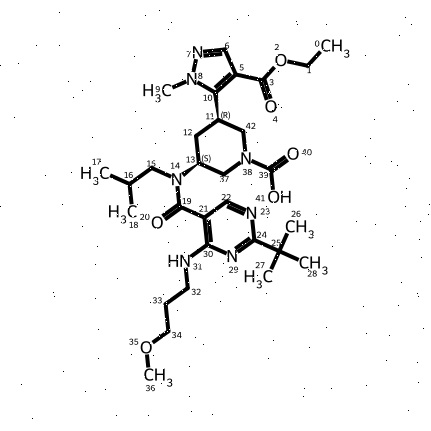 CCOC(=O)c1cnn(C)c1[C@@H]1C[C@H](N(CC(C)C)C(=O)c2cnc(C(C)(C)C)nc2NCCCOC)CN(C(=O)O)C1